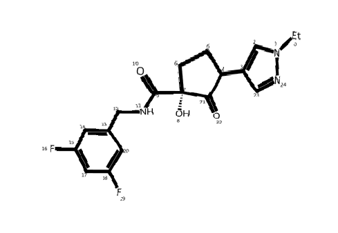 CCn1cc(C2CC[C@](O)(C(=O)NCc3cc(F)cc(F)c3)C2=O)cn1